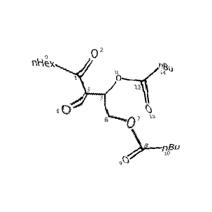 CCCCCCC(=O)C(=O)C(COC(=O)CCCC)OC(=O)CCCC